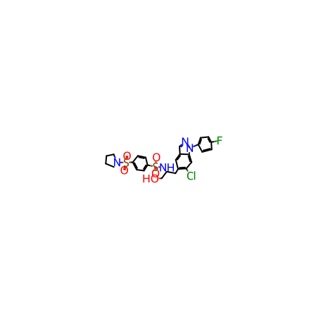 O=S(=O)(NC(CO)Cc1cc2cnn(-c3ccc(F)cc3)c2cc1Cl)c1ccc(S(=O)(=O)N2CCCC2)cc1